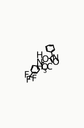 Cc1onc(-c2ccccc2)c1OC(=O)Nc1ccc(C(F)(F)F)cc1